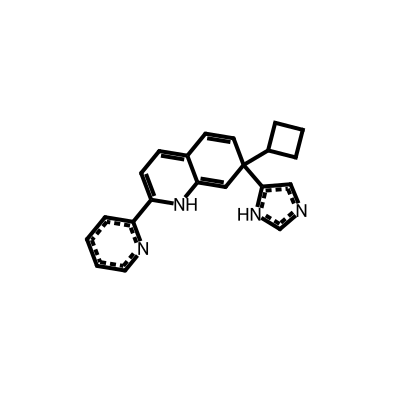 C1=CC(c2cnc[nH]2)(C2CCC2)C=C2NC(c3ccccn3)=CC=C12